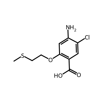 CSCCOc1cc(N)c(Cl)cc1C(=O)O